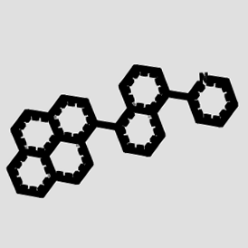 c1ccc(-c2cccc3c(-c4ccc5ccc6cccc7ccc4c5c67)cccc23)nc1